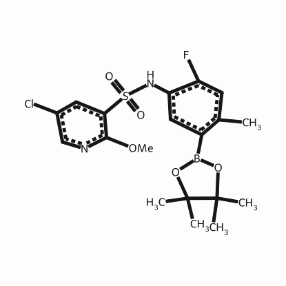 COc1ncc(Cl)cc1S(=O)(=O)Nc1cc(B2OC(C)(C)C(C)(C)O2)c(C)cc1F